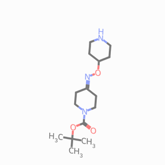 CC(C)(C)OC(=O)N1CCC(=NOC2CCNCC2)CC1